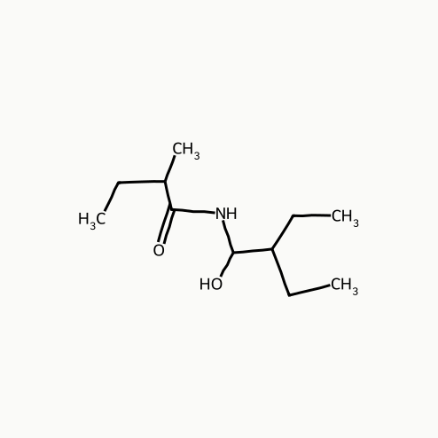 CCC(C)C(=O)NC(O)C(CC)CC